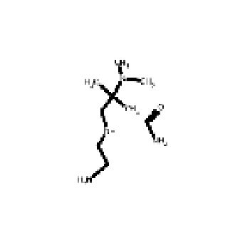 CN(C)C(C)(C)CNCCN.NC=O